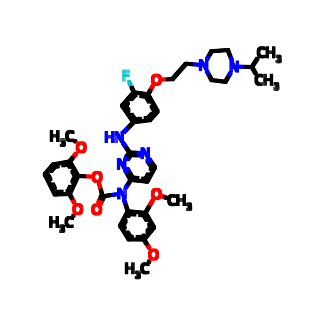 COc1ccc(N(C(=O)Oc2c(OC)cccc2OC)c2ccnc(Nc3ccc(OCCN4CCN(C(C)C)CC4)c(F)c3)n2)c(OC)c1